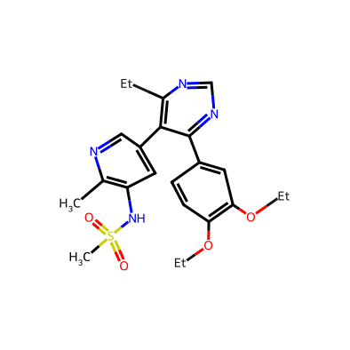 CCOc1ccc(-c2ncnc(CC)c2-c2cnc(C)c(NS(C)(=O)=O)c2)cc1OCC